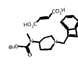 CC(C)COC(=O)N(C)C1CCN(CC2=Cc3ccccc32)CC1.O=C(O)C=CC(=O)O